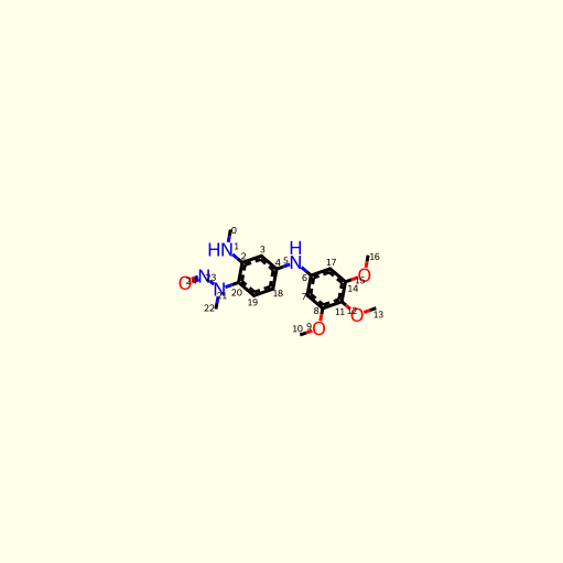 CNc1cc(Nc2cc(OC)c(OC)c(OC)c2)ccc1N(C)N=O